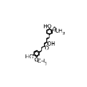 COc1cc(/C=C/C(O)=C/C(=O)CCc2ccc(O)c(OC)c2)ccc1O